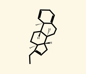 CCC1=CC[C@H]2[C@@H]3CCC4=CCC=C[C@]4(C)[C@H]3CC[C@]12C